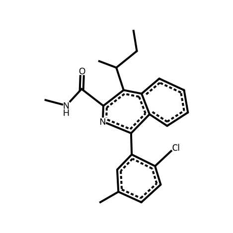 CCC(C)c1c(C(=O)NC)nc(-c2cc(C)ccc2Cl)c2ccccc12